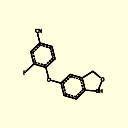 N#Cc1ccc(Oc2ccc3c(c2)COB3)c(F)c1